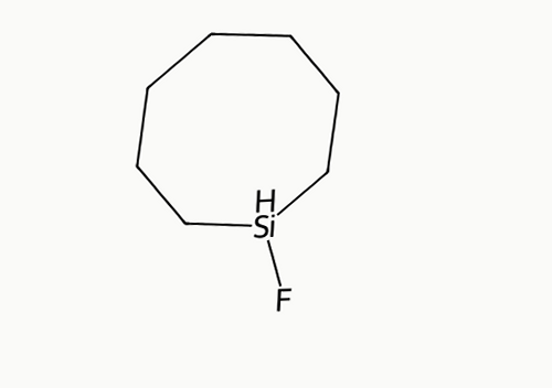 F[SiH]1CCCCCCC1